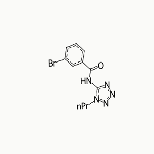 CCCn1nnnc1NC(=O)c1cccc(Br)c1